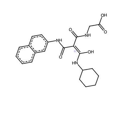 O=C(O)CNC(=O)/C(C(=O)Nc1ccc2ccccc2c1)=C(\O)NC1CCCCC1